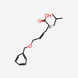 CC(C)C[C@H](CC=CCOCc1ccccc1)C(=O)O